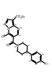 CCOC(=O)c1cnn2c(Cl)c(C(=O)N3CCC(c4ccc(F)cc4)CC3)cnc12